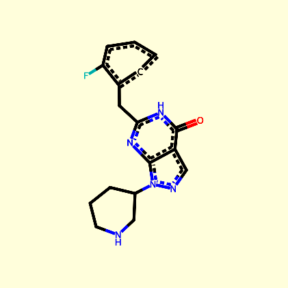 O=c1[nH]c(Cc2ccccc2F)nc2c1cnn2C1CCCNC1